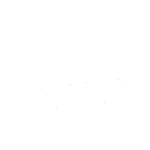 CC#Cc1cc(-c2c(C)cccc2C)c(F)c(C(CC(=O)O)NC(=O)C(CC(C)C)n2cc(CCN(C)C)c(C(F)(F)F)cc2=O)c1F